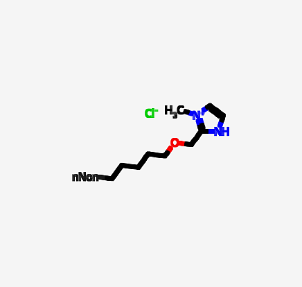 CCCCCCCCCCCCCCOCc1[nH]cc[n+]1C.[Cl-]